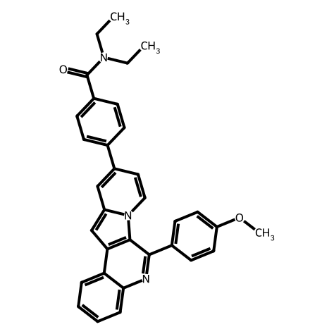 CCN(CC)C(=O)c1ccc(-c2ccn3c(c2)cc2c4ccccc4nc(-c4ccc(OC)cc4)c23)cc1